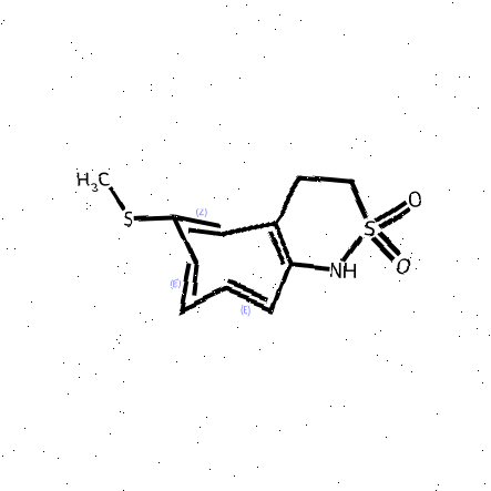 CSC1=C/C2=C(/C=C/C=C/1)NS(=O)(=O)CC2